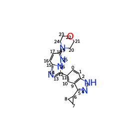 c1cc2[nH]nc(C3CC3)c2cc1-c1cnc2ccc(N3CCOCC3)nn12